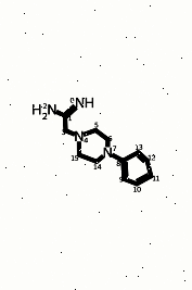 N=C(N)CN1CCN(c2ccccc2)CC1